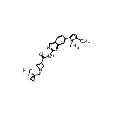 Cc1ncc(-c2ccc3cnc(NC(=O)C4CN(CC5(C)CC5)C4)cc3c2)n1C